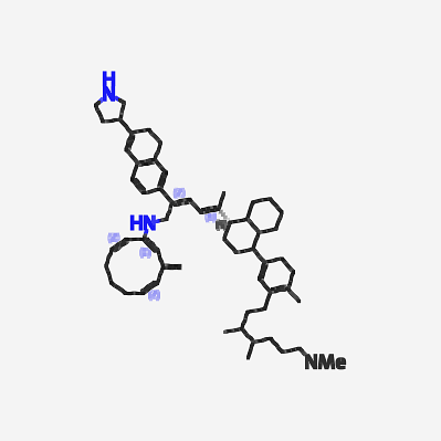 C=C1/C=C\CCC/C=C\C(NC/C(=C\C=C(/C)[C@H]2CCC(C3=CC(CCC(C)C(C)CCCNC)=C(C)CC3)C3CCCCC32)c2ccc3c(c2)CCC(C2CCNC2)=C3)=C/1